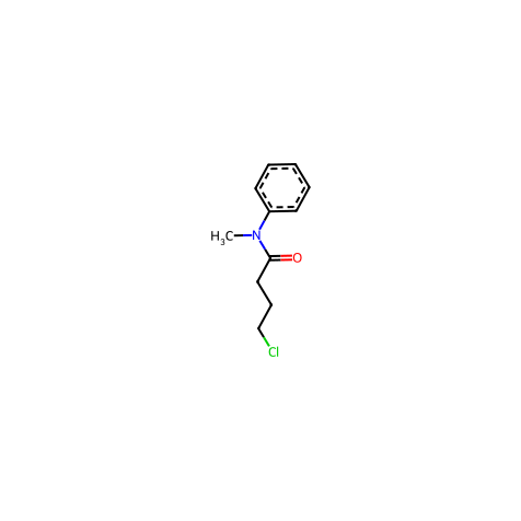 CN(C(=O)CCCCl)c1ccccc1